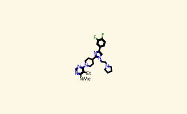 CCc1c(NC)ncnc1N1CCC(c2nc(-c3ccc(F)c(F)c3)cn2CCN2CCCC2)CC1